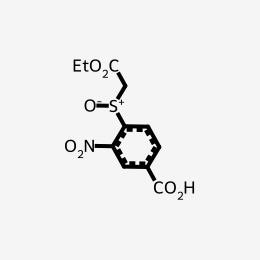 CCOC(=O)C[S+]([O-])c1ccc(C(=O)O)cc1[N+](=O)[O-]